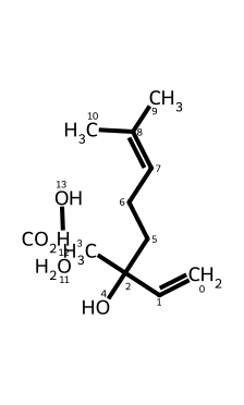 C=CC(C)(O)CCC=C(C)C.O.O=C(O)O